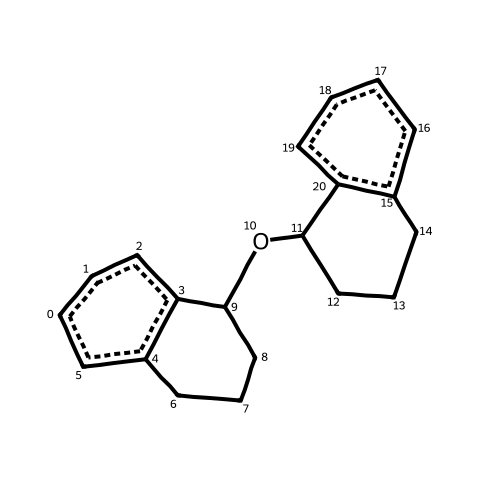 c1ccc2c(c1)CCCC2OC1CCCc2ccccc21